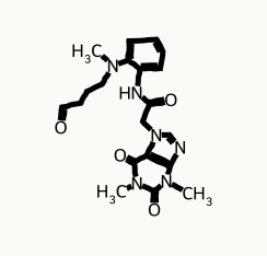 CN(CCCC=O)c1ccccc1NC(=O)Cn1cnc2c1c(=O)n(C)c(=O)n2C